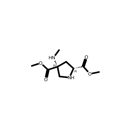 CN[C@@]1(C(=O)OC)CN[C@@H](C(=O)OC)C1